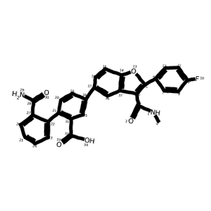 CNC(=O)c1c(-c2ccc(F)cc2)oc2ccc(-c3ccc(-c4ccccc4C(N)=O)c(C(=O)O)c3)cc12